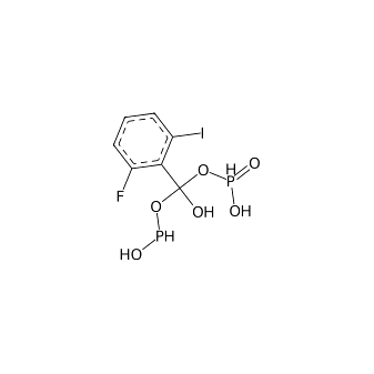 O=[PH](O)OC(O)(OPO)c1c(F)cccc1I